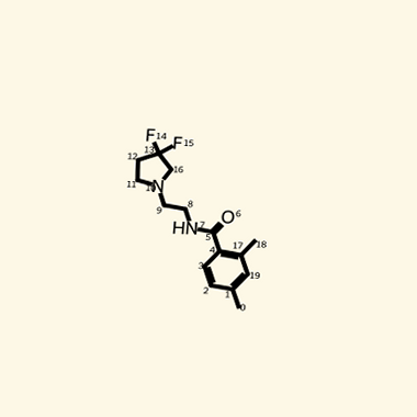 Cc1ccc(C(=O)NCCN2CCC(F)(F)C2)c(C)c1